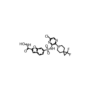 O=C(NO)c1cc2ccc(S(=O)(=O)Nc3nc(Cl)cnc3N3CCC4(CC3)CC4(F)F)cc2o1